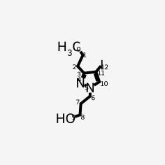 CCCc1nn(CCCO)cc1I